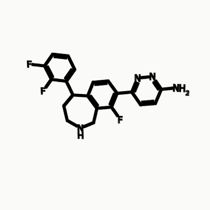 Nc1ccc(-c2ccc3c(c2F)CNCCC3c2cccc(F)c2F)nn1